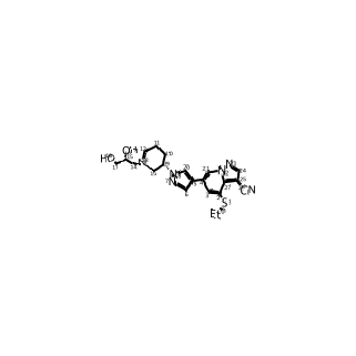 CCSc1cc(-c2cnn([C@H]3CCCN(C[C@H](O)CO)C3)c2)cn2ncc(C#N)c12